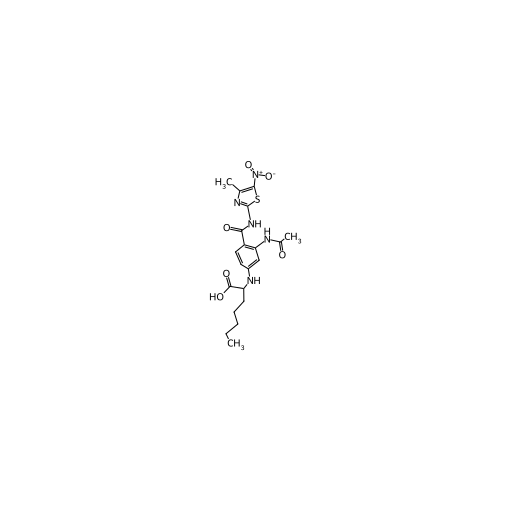 CCCCCC(Nc1ccc(C(=O)Nc2nc(C)c([N+](=O)[O-])s2)c(NC(C)=O)c1)C(=O)O